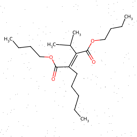 CCCCCC(C(=O)OCCCC)=C(C(=O)OCCCC)C(C)C